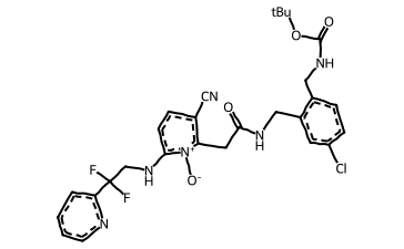 CC(C)(C)OC(=O)NCc1ccc(Cl)cc1CNC(=O)Cc1c(C#N)ccc(NCC(F)(F)c2ccccn2)[n+]1[O-]